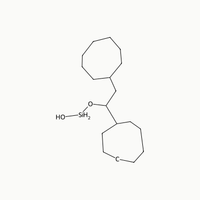 O[SiH2]OC(CC1CCCCCCC1)C1CCCCCCC1